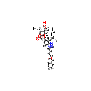 CCC(CC(=O)O)(c1ccc(C)c([C@H](C)O)c1)c1ccc2c(nnn2CCCCOCc2ccccc2)c1C